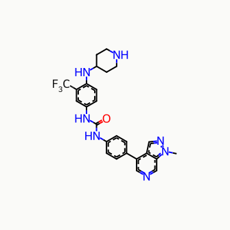 Cn1ncc2c(-c3ccc(NC(=O)Nc4ccc(NC5CCNCC5)c(C(F)(F)F)c4)cc3)cncc21